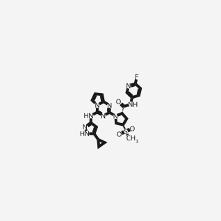 CS(=O)(=O)[C@@H]1C[C@@H](C(=O)Nc2ccc(F)nc2)N(c2nc(Nc3cc(C4CC4)[nH]n3)n3cccc3n2)C1